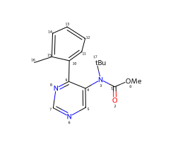 COC(=O)N(c1cncnc1-c1ccccc1C)C(C)(C)C